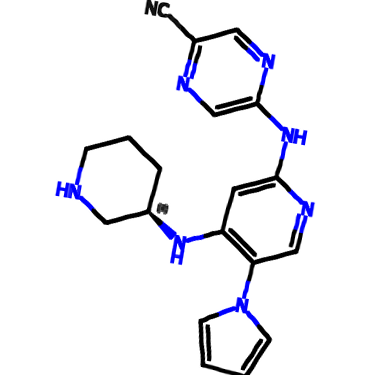 N#Cc1cnc(Nc2cc(N[C@@H]3CCCNC3)c(-n3cccc3)cn2)cn1